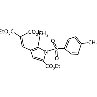 CCOC(=O)C(=Cc1cc(C(=O)OCC)n(S(=O)(=O)c2ccc(C)cc2)c1C)C(=O)OCC